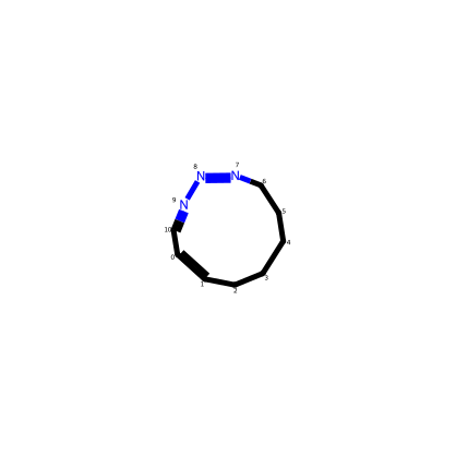 C1=CCCCCCN=NN=C1